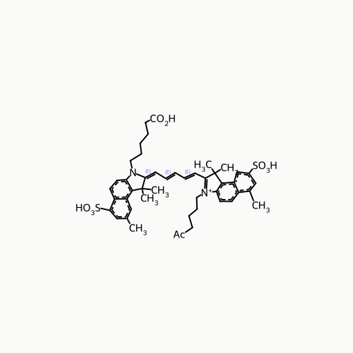 CC(=O)CCCC[N+]1=C(/C=C/C=C/C=C2/N(CCCCCC(=O)O)c3ccc4c(S(=O)(=O)O)cc(C)cc4c3C2(C)C)C(C)(C)c2c1ccc1c(C)cc(S(=O)(=O)O)cc21